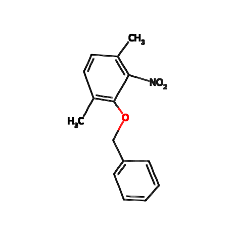 Cc1ccc(C)c([N+](=O)[O-])c1OCc1ccccc1